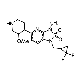 COC1CNCCC1c1ccc2c(n1)N(C)S(=O)(=O)N2CC1CC1(F)F